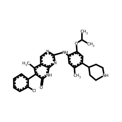 Cc1cc(Nc2ncc3c(C)c(-c4ccccc4Cl)c(=O)[nH]c3n2)c(OC(C)C)cc1C1CCNCC1